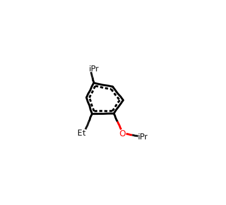 CCc1cc(C(C)C)ccc1OC(C)C